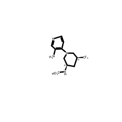 Nc1cnccc1N1C[C@H](NC(=O)O)C[C@H](C(F)(F)F)C1